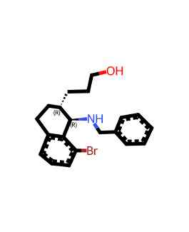 OCCC[C@H]1CCc2cccc(Br)c2[C@@H]1NCc1ccccc1